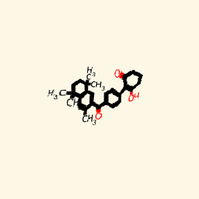 Cc1cc2c(cc1C(=O)c1ccc(C3=C(O)CCCC3=O)cc1)C(C)(C)CCC2(C)C